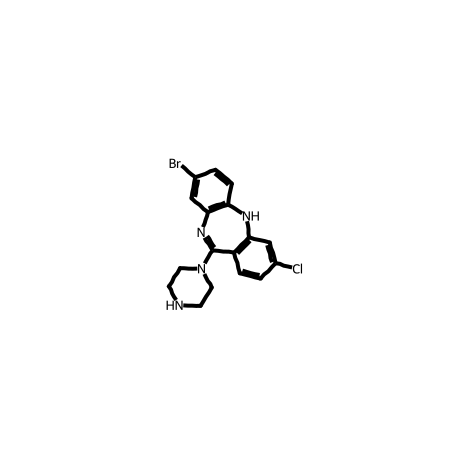 Clc1ccc2c(c1)Nc1ccc(Br)cc1N=C2N1CCNCC1